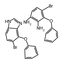 Brc1ccc2[nH]cnc2c1Oc1ccccc1.Nc1ccc(Br)c(Oc2ccccc2)c1N